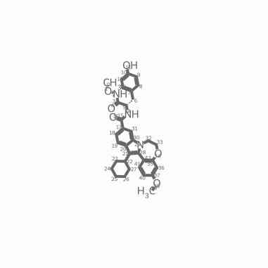 CONC(=O)[C@H](Cc1ccc(O)cc1)NC(=O)c1ccc2c(C3CCCCC3)c3n(c2c1)CCOc1cc(OC)ccc1-3